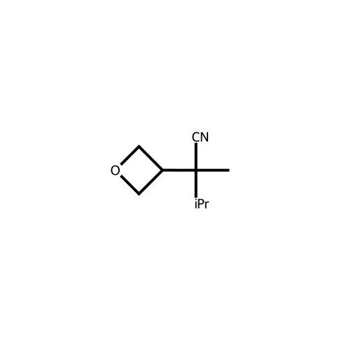 CC(C)C(C)(C#N)C1COC1